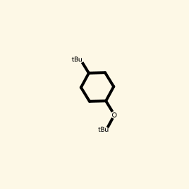 CC(C)(C)OC1CCC(C(C)(C)C)CC1